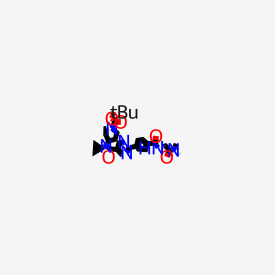 CN(C)C(=O)CNC(=O)c1ccc(-c2ncc(C(=O)N(C3CC3)C3CCN(C(=O)OC(C)(C)C)CC3)cn2)cc1